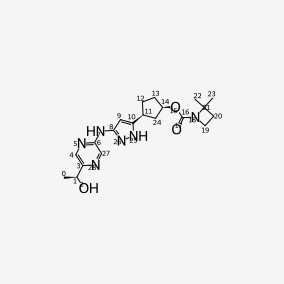 C[C@H](O)c1cnc(Nc2cc([C@H]3CC[C@@H](OC(=O)N4CCC4(C)C)C3)[nH]n2)cn1